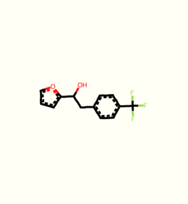 OC(Cc1ccc(C(F)(F)F)cc1)c1ccco1